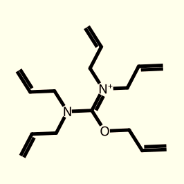 C=CCOC(N(CC=C)CC=C)=[N+](CC=C)CC=C